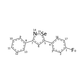 Fc1ccc(-c2cc(-c3ccccc3)n[se]2)cc1